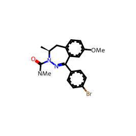 CNC(=O)N1N=C(c2ccc(Br)cc2)c2cc(OC)ccc2C[C@@H]1C